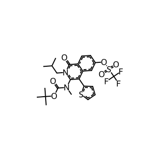 CC(C)Cn1c(N(C)C(=O)OC(C)(C)C)c(-c2cccs2)c2cc(OS(=O)(=O)C(F)(F)F)ccc2c1=O